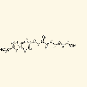 N[C@@H](Cc1ccc(OCC(=O)NCCOCCO)cc1)C(=O)O